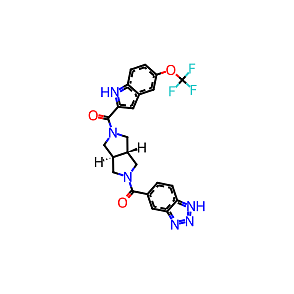 O=C(c1ccc2[nH]nnc2c1)N1C[C@H]2CN(C(=O)c3cc4cc(OC(F)(F)F)ccc4[nH]3)C[C@@H]2C1